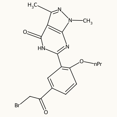 CCCOc1ccc(C(=O)CBr)cc1-c1nc2c(c(C)nn2C)c(=O)[nH]1